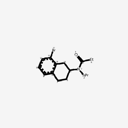 CCCN(C(=O)CC)C1CCc2cccc(Br)c2C1